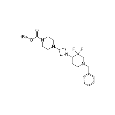 CC(C)(C)OC(=O)N1CCN(C2CN(C3CCN(Cc4ccccc4)CC3(F)F)C2)CC1